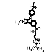 CN(C)c1noc(CCNC(=O)c2ccc3c(c2)c2cn(C)nc2n3-c2ccc(C(F)(F)F)cc2)n1